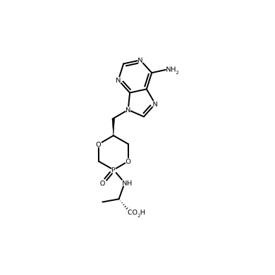 C[C@H](NP1(=O)CO[C@@H](Cn2cnc3c(N)ncnc32)CO1)C(=O)O